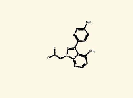 Nc1ccc(-c2nn(CC(F)F)c3ncnc(N)c23)cc1